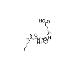 CCCCCN(C)C(=S)CC(=O)NC[C@H]1[C@@H](C/C=C\CCCC(=O)O)[C@H]2CC[C@@H]1O2